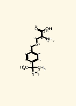 CC(C)(C)c1ccc(CSCC(N)C(=O)O)cc1